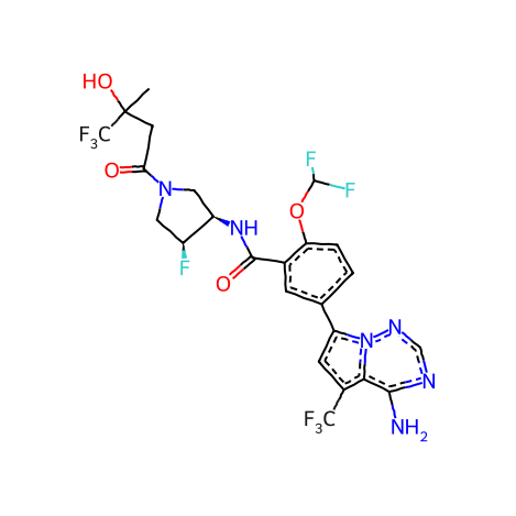 CC(O)(CC(=O)N1C[C@H](F)[C@H](NC(=O)c2cc(-c3cc(C(F)(F)F)c4c(N)ncnn34)ccc2OC(F)F)C1)C(F)(F)F